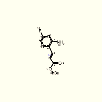 CCCCOC(=O)/C=C/c1ncc(F)cc1N